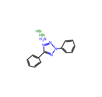 Br.Br.N.c1ccc(-c2nnn(-c3ccccc3)n2)cc1